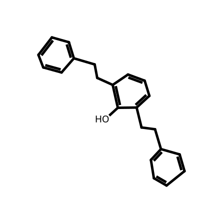 Oc1c(CCc2ccccc2)cccc1CCc1ccccc1